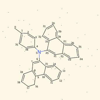 Cc1ccc(N(c2cc3c(c4ccccc24)CCC=C3)c2cc3ccccc3c3ccccc23)cc1